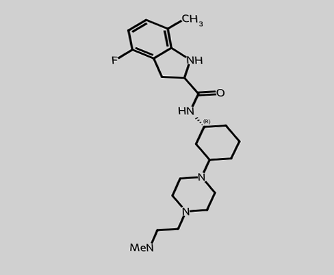 CNCCN1CCN(C2CCC[C@@H](NC(=O)C3Cc4c(F)ccc(C)c4N3)C2)CC1